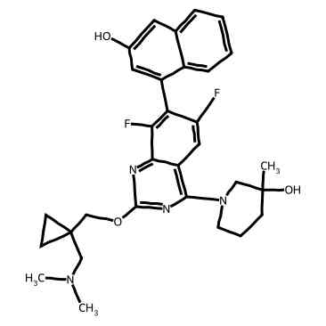 CN(C)CC1(COc2nc(N3CCCC(C)(O)C3)c3cc(F)c(-c4cc(O)cc5ccccc45)c(F)c3n2)CC1